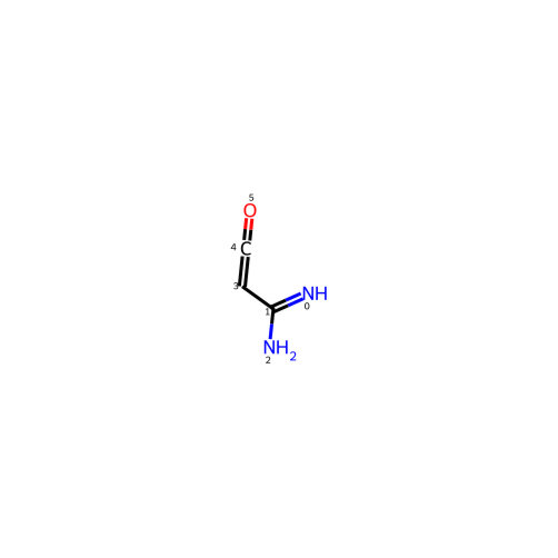 N=C(N)C=C=O